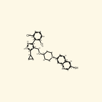 Sc1cnc2cc(N3CCC(OCc4c(-c5c(Cl)cccc5Cl)noc4C4CC4)CC3)ccc2c1